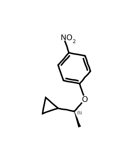 C[C@H](Oc1ccc([N+](=O)[O-])cc1)C1CC1